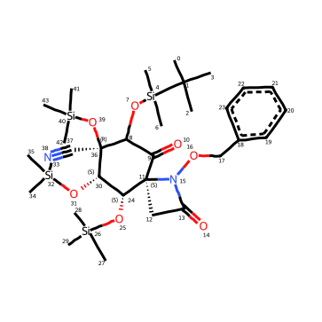 CC(C)(C)[Si](C)(C)OC1C(=O)[C@]2(CC(=O)N2OCc2ccccc2)[C@H](O[Si](C)(C)C)[C@H](O[Si](C)(C)C)[C@@]1(C#N)O[Si](C)(C)C